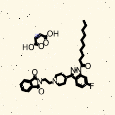 CCCCCCCCCC(=O)n1nc(C2CCN(CCN3C(=O)c4ccccc4C3=O)CC2)c2ccc(F)cc21.O=C(O)/C=C\C(=O)O